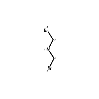 BrC[N]CBr